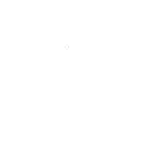 [CH]1CCCCCCCCCO1